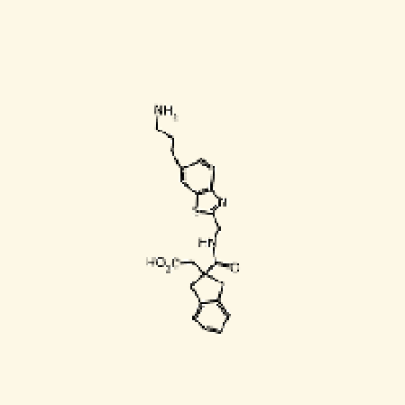 NCCCc1ccc2nc(CNC(=O)C3(CC(=O)O)Cc4ccccc4C3)sc2c1